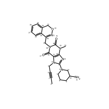 CC#CCn1c(N2CCCC(N)C2)nc2c1c(=O)n(CC1=NOCc3ccccc31)c(=O)n2C